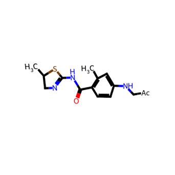 CC(=O)CNc1ccc(C(=O)NC2=NCC(C)S2)c(C)c1